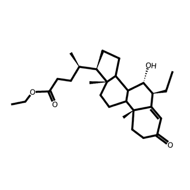 CCOC(=O)CC[C@@H](C)[C@H]1CCC2C3C(CC[C@@]21C)[C@@]1(C)CCC(=O)C=C1[C@H](CC)[C@H]3O